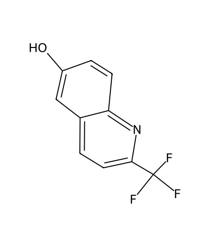 Oc1ccc2nc(C(F)(F)F)ccc2c1